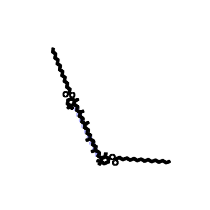 CCCCCCCCCCCCCCCC(=O)OC1CCC(C)(C)C(/C=C/C(C)=C/C=C/C(C)=C/C=C/C=C(C)/C=C/C=C(C)/C=C/C2=C(C)C(OC(=O)CCCCCCCCCCCCCCC)CCC2(C)C)=C1C